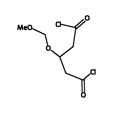 COCOC(CC(=O)Cl)CC(=O)Cl